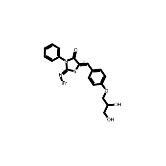 CC(C)/N=C1\S/C(=C\c2ccc(OCC(O)CO)cc2)C(=O)N1c1ccccc1